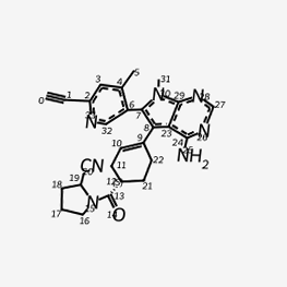 C#Cc1cc(C)c(-c2c(C3=CC[C@@H](C(=O)N4CCCC4C#N)CC3)c3c(N)ncnc3n2C)cn1